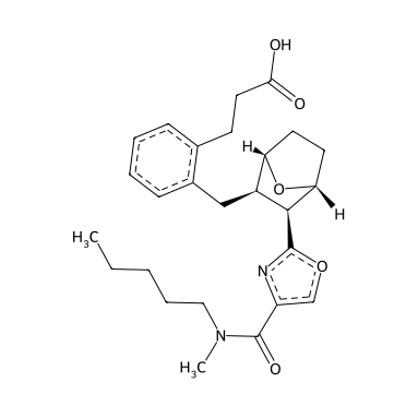 CCCCCN(C)C(=O)c1coc([C@H]2[C@@H](Cc3ccccc3CCC(=O)O)[C@@H]3CC[C@H]2O3)n1